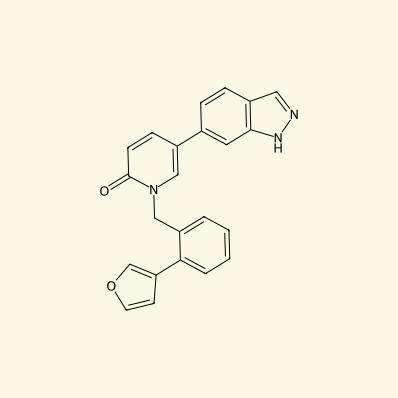 O=c1ccc(-c2ccc3cn[nH]c3c2)cn1Cc1ccccc1-c1ccoc1